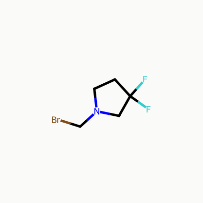 FC1(F)CCN(CBr)C1